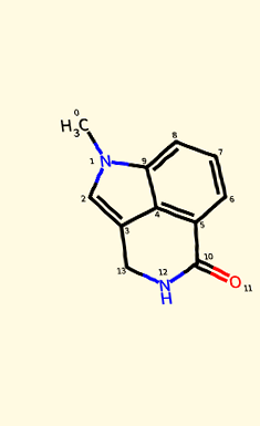 Cn1cc2c3c(cccc31)C(=O)NC2